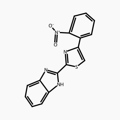 O=[N+]([O-])c1ccccc1-c1csc(-c2nc3ccccc3[nH]2)n1